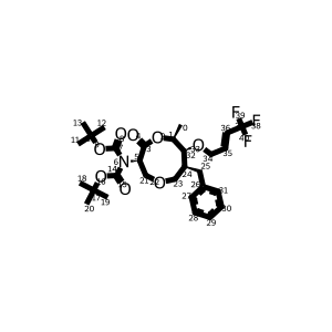 C[C@@H]1OC(=O)[C@@H](N(C(=O)OC(C)(C)C)C(=O)OC(C)(C)C)COC[C@H](Cc2ccccc2)[C@H]1OC/C=C/C(F)(F)F